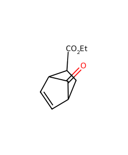 CCOC(=O)C1CC2C=CC1C2=O